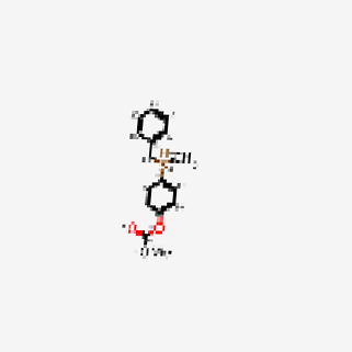 COC(=O)Oc1ccc([SH](C)Cc2ccccc2)cc1